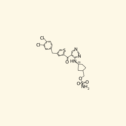 NS(=O)(=O)OCC1CC[C@H](Nc2ncncc2C(=O)c2cc(Cc3ccc(Cl)c(Cl)c3)cs2)C1